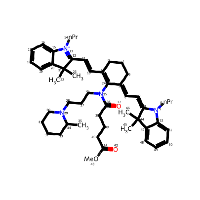 CCCN1/C(=C/C=C2\CCCC(/C=C/C3=[N+](CCC)c4ccccc4C3(C)C)=C2N(CCCN2CCCCC2C)C(=O)CCCC(=O)OC)C(C)(C)c2ccccc21